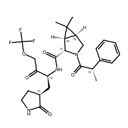 C[C@H](C(=O)N1C[C@H]2[C@@H]([C@H]1C(=O)N[C@@H](C[C@@H]1CCNC1=O)C(=O)COC(F)(F)F)C2(C)C)c1ccccc1